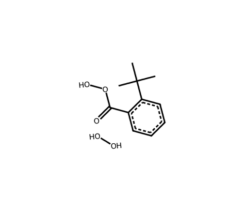 CC(C)(C)c1ccccc1C(=O)OO.OO